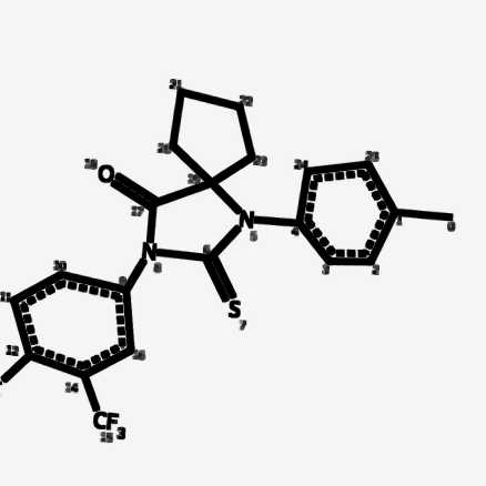 Cc1ccc(N2C(=S)N(c3ccc(C#N)c(C(F)(F)F)c3)C(=O)C23CCCC3)cc1